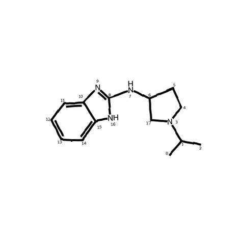 CC(C)N1CCC(Nc2nc3ccccc3[nH]2)C1